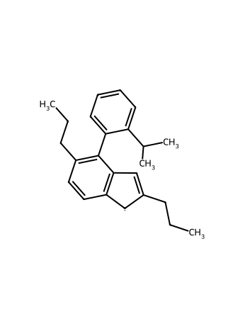 CCCC1=Cc2c(ccc(CCC)c2-c2ccccc2C(C)C)[CH]1